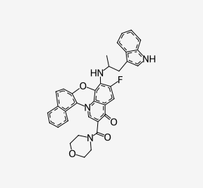 CC(Cc1c[nH]c2ccccc12)Nc1c(F)cc2c(=O)c(C(=O)N3CCOCC3)cn3c2c1Oc1ccc2ccccc2c1-3